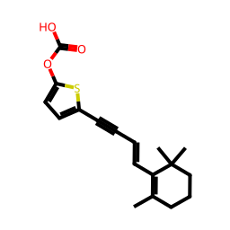 CC1=C(C=CC#Cc2ccc(OC(=O)O)s2)C(C)(C)CCC1